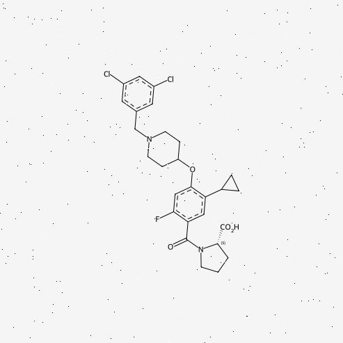 O=C(O)[C@@H]1CCCN1C(=O)c1cc(C2CC2)c(OC2CCN(Cc3cc(Cl)cc(Cl)c3)CC2)cc1F